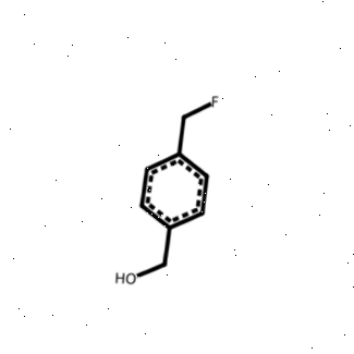 OCc1ccc(CF)cc1